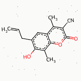 C=CCc1cc2c(C)c(C#N)c(=O)oc2c(C)c1O